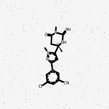 CN1C(=N)N[C@](C)(c2cc(-c3cc(Cl)cc(C#N)c3)nn2C)CC1=O